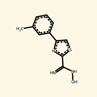 Cc1cccc(-c2csc(C(=N)NO)n2)c1